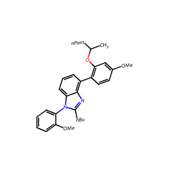 CCCCCC(C)Oc1cc(OC)ccc1-c1cccc2c1nc(CCCC)n2-c1ccccc1OC